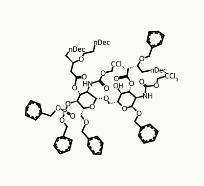 CCCCCCCCCCCCO[C@H](CCCCCCCCCCC)CC(=O)O[C@@H]1[C@@H](NC(=O)OCC(Cl)(Cl)Cl)[C@H](OC[C@H]2O[C@H](OCc3ccccc3)[C@H](NC(=O)OCC(Cl)(Cl)Cl)[C@@H](OC(=O)C[C@@H](CCCCCCCCCCC)OCc3ccccc3)[C@@H]2O)O[C@H](COCc2ccccc2)[C@H]1OP(=O)(OCc1ccccc1)OCc1ccccc1